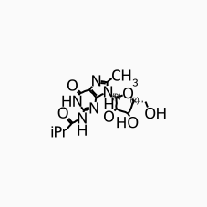 Cc1nc2c(=O)[nH]c(NC(=O)C(C)C)nc2n1[C@@H]1O[C@H](CO)C(O)C1O